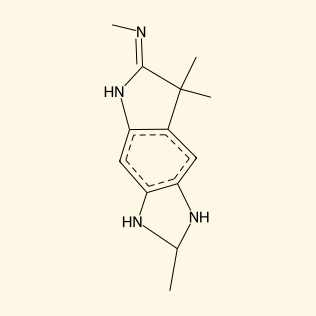 CN=C1Nc2cc3c(cc2C1(C)C)NC(C)N3